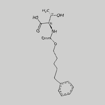 C[C@H](O)[C@@H](NC(=O)OCCCCCc1ccccc1)C(=O)O